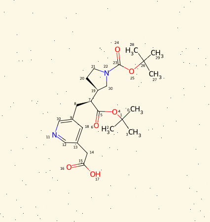 CC(C)(C)OC(=O)[C@@H](Cc1cncc(CC(=O)O)c1)[C@H]1CCN(C(=O)OC(C)(C)C)C1